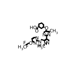 Cc1nc(-c2cnn(C)c2CNc2nccc(OCC(C)(F)F)n2)ncc1O[C@H]1CCC[C@H](C(=O)O)C1